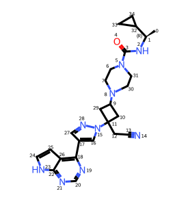 C[C@@H](NC(=O)N1CCN(C2CC(CC#N)(n3cc(-c4ncnc5[nH]ccc45)cn3)C2)CC1)C1CC1